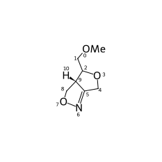 COCC1OCC2=NOC[C@@H]21